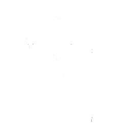 ICc1nc2ccccc2s1